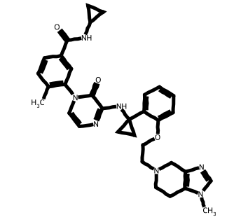 Cc1ccc(C(=O)NC2CC2)cc1-n1ccnc(NC2(c3ccccc3OCCN3CCc4c(ncn4C)C3)CC2)c1=O